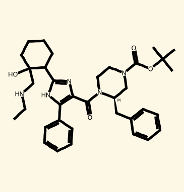 CCNCC1(O)CCCCC1c1nc(C(=O)N2CCN(C(=O)OC(C)(C)C)C[C@H]2Cc2ccccc2)c(-c2ccccc2)[nH]1